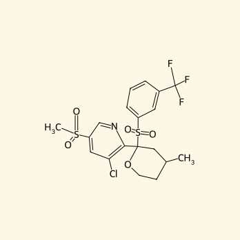 CC1CCOC(c2ncc(S(C)(=O)=O)cc2Cl)(S(=O)(=O)c2cccc(C(F)(F)F)c2)C1